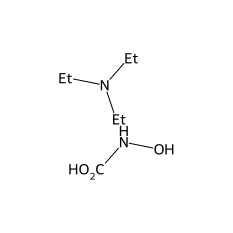 CCN(CC)CC.O=C(O)NO